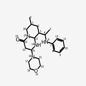 CC1CC(C(C)Nc2ccccc2)C2NC(N3CCOCC3)CC(=O)N2C1